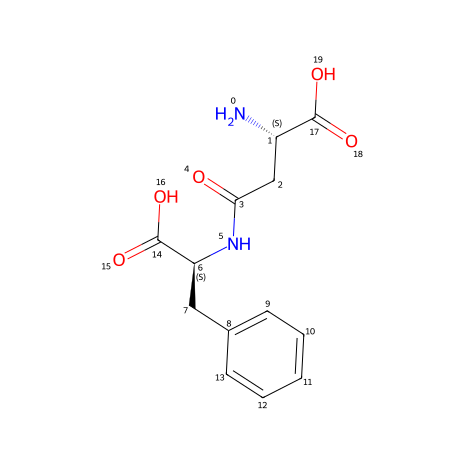 N[C@@H](CC(=O)N[C@@H](Cc1ccccc1)C(=O)O)C(=O)O